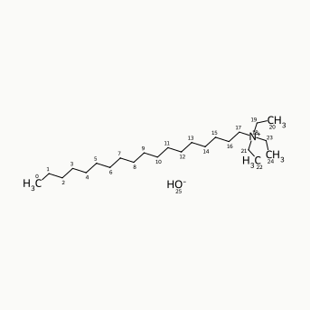 CCCCCCCCCCCCCCCCCC[N+](CC)(CC)CC.[OH-]